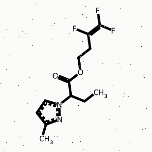 CCC(C(=O)OCCC(F)=C(F)F)n1ccc(C)n1